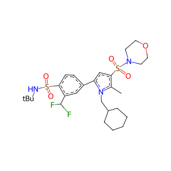 Cc1c(S(=O)(=O)N2CCOCC2)cc(-c2ccc(S(=O)(=O)NC(C)(C)C)c(C(F)F)c2)n1CC1CCCCC1